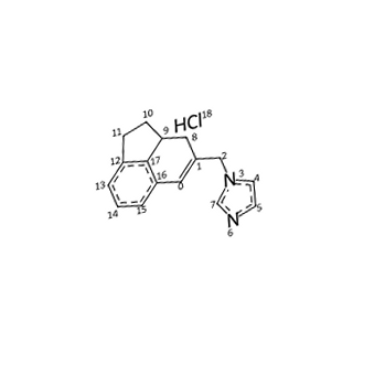 C1=C(Cn2ccnc2)CC2CCc3cccc1c32.Cl